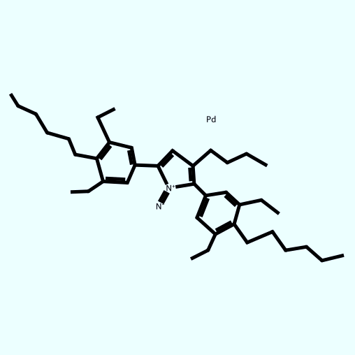 CCCCCCc1c(CC)cc(C2=CC(CCCC)=C(c3cc(CC)c(CCCCCC)c(CC)c3)[N+]2=[N-])cc1CC.[Pd]